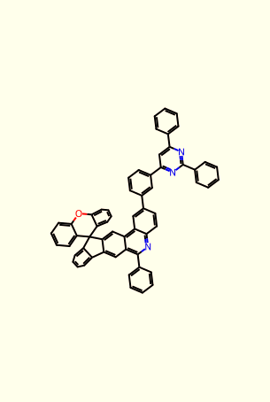 c1ccc(-c2cc(-c3cccc(-c4ccc5nc(-c6ccccc6)c6cc7c(cc6c5c4)C4(c5ccccc5Oc5ccccc54)c4ccccc4-7)c3)nc(-c3ccccc3)n2)cc1